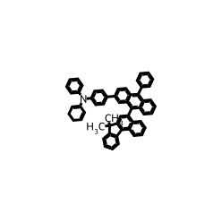 CC1(C)c2ccccc2-c2c1cc(-c1c3ccccc3c(-c3ccccc3)c3ccc(-c4ccc(N(C5=CCCC=C5)c5ccccc5)cc4)cc13)c1ccccc21